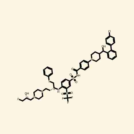 O=C(NS(=O)(=O)c1ccc(N[C@H](CCN2CCN(C[C@@H](O)CF)CC2)CSc2ccccc2)c(S(=O)(=O)C(F)(F)F)c1)c1ccc(N2CCC(C(O)c3ccccc3-c3ccc(Cl)cc3)CC2)cc1